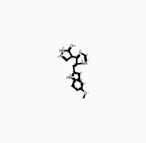 COc1ccc2[nH]c(C=C3NC=CN=C3C3C=NNC3=O)cc2c1